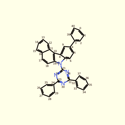 c1ccc(-c2ccc3c(c2)c2c4ccccc4ccc2n3-c2nc(-c3ccccc3)nc(-c3ccccc3)n2)cc1